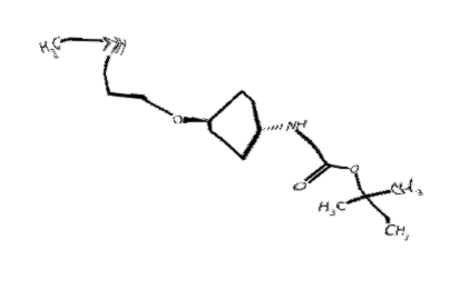 CNCCO[C@H]1C[C@H](NC(=O)OC(C)(C)C)C1